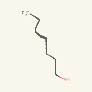 OCCCCCCC(F)(F)F